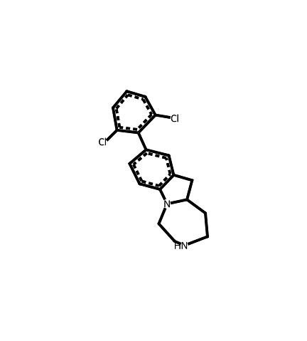 Clc1cccc(Cl)c1-c1ccc2c(c1)CC1CCNCCN21